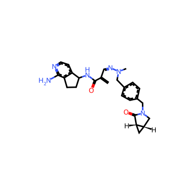 C=C(/C=N\N(C)Cc1ccc(CN2C[C@@H]3C[C@@H]3C2=O)cc1)C(=O)NC1CCc2c1ccnc2N